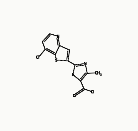 Cc1nc(-c2cc3nccc(Cl)c3s2)sc1C(=O)Cl